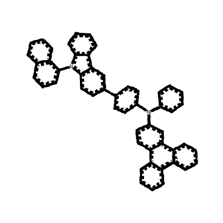 c1ccc(N(c2ccc(-c3ccc4c(c3)c3ccccc3n4-c3cccc4ccccc34)cc2)c2ccc3c4ccccc4c4ccccc4c3c2)cc1